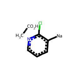 CC(=O)O.[Na][c]1cccnc1Cl